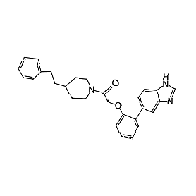 O=C(COc1ccccc1-c1ccc2[nH]cnc2c1)N1CCC(CCc2ccccc2)CC1